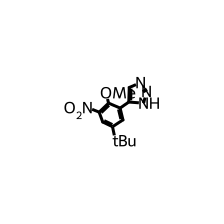 COc1c(-c2cnn[nH]2)cc(C(C)(C)C)cc1[N+](=O)[O-]